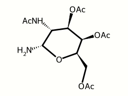 CC(=O)N[C@@H]1[C@@H](OC(C)=O)[C@@H](OC(C)=O)[C@@H](COC(C)=O)O[C@@H]1N